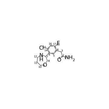 NC(=O)Cc1cc(C2COCCCN2)c(Cl)cc1F